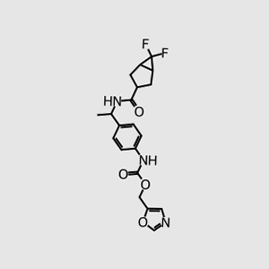 CC(NC(=O)C1CC2C(C1)C2(F)F)c1ccc(NC(=O)OCc2cnco2)cc1